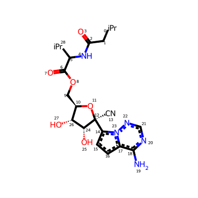 CC(C)CC(=O)NC(C(=O)OC[C@H]1O[C@@](C#N)(c2ccc3c(N)ncnn23)[C@H](O)[C@@H]1O)C(C)C